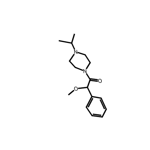 COC(C(=O)N1CCN(C(C)C)CC1)c1ccccc1